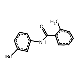 Cc1ccccc1C(=O)Nc1cccc(C(C)(C)C)c1